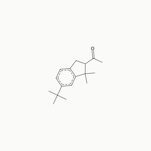 CC(=O)C1Cc2ccc(C(C)(C)C)cc2C1(C)C